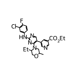 CCOC(=O)c1cncc(-c2cnc(Nc3ccc(F)c(Cl)c3)nc2N2CC(C)OCC2CC)c1